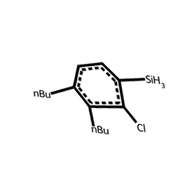 CCCCc1ccc([SiH3])c(Cl)c1CCCC